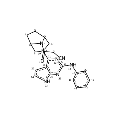 N#CCC(=O)N1C2CCC1CN(c1nc(Nc3ccccc3)nc3[nH]ccc13)C2